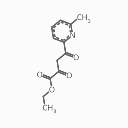 CCOC(=O)C(=O)CC(=O)c1cccc(C)n1